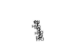 C[C@@H](NC(=O)c1cnc2n1CCC2)c1ncc(C(=O)Nc2cc(C(F)(F)F)c(Cl)cn2)s1